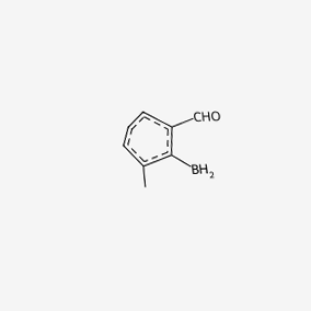 Bc1c(C)cccc1C=O